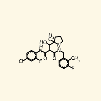 Cc1c(F)cccc1CN1C(=O)C(C(=O)Nc2ccc(Cl)cc2F)C(O)C2(C)CCCN12